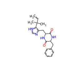 C=CC(C)(C)c1[nH]cnc1CC1NC(=O)C(Cc2ccccc2)NC1=O